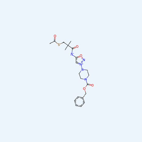 CC(=O)SCC(C)(C)C(=O)[N-]c1c[n+](N2CCN(C(=O)OCc3ccccc3)CC2)no1